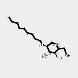 CCCCCCCCCO[C@H]1CNC(CO)[C@@H](O)[C@@H]1O